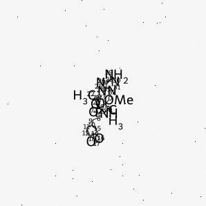 COC(=O)[C@@H](C)NP(=O)(CCc1ccc2c(c1)OCO2)CO[C@H](C)Cn1cnc2c(N)ncnc21